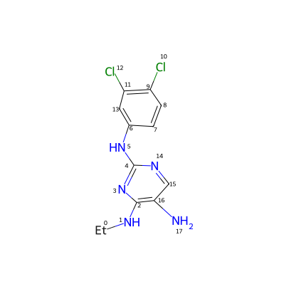 CCNc1nc(Nc2ccc(Cl)c(Cl)c2)ncc1N